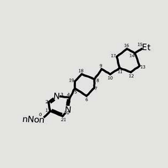 CCCCCCCCCc1cnc(C2CCC(CCC3CCC(CC)CC3)CC2)nc1